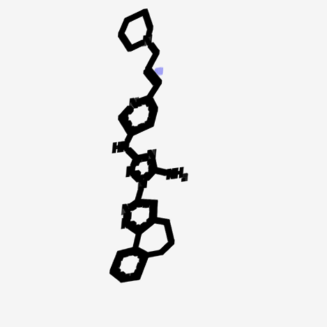 Nc1nc(Nc2ccc(/C=C/CN3CCCCC3)nc2)nn1-c1cc2c(nn1)-c1ccccc1CCC2